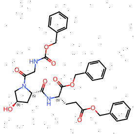 O=C(CC[C@H](NC(=O)[C@@H]1C[C@@H](O)CN1C(=O)CNC(=O)OCc1ccccc1)C(=O)OCc1ccccc1)OCc1ccccc1